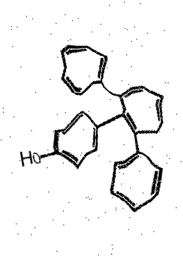 Oc1ccc(-c2c(-c3ccccc3)cccc2-c2ccccc2)cc1